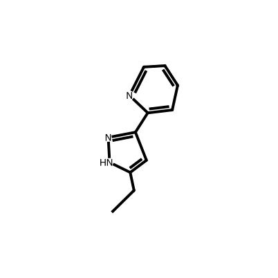 CCc1cc(-c2ccccn2)n[nH]1